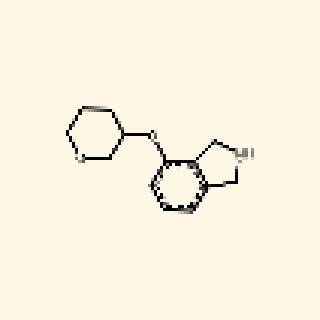 c1cc2c(c(OC3CCCOC3)c1)CNC2